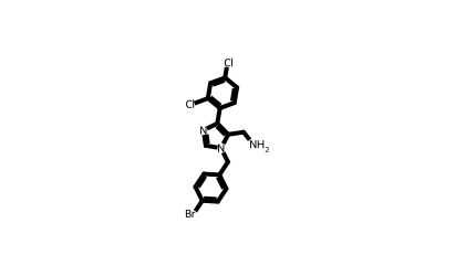 NCc1c(-c2ccc(Cl)cc2Cl)ncn1Cc1ccc(Br)cc1